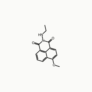 CCNN1C(=O)c2cccc3c(OC)ccc(c23)C1=O